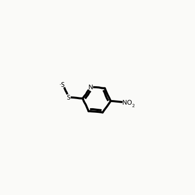 O=[N+]([O-])c1ccc(S[S])nc1